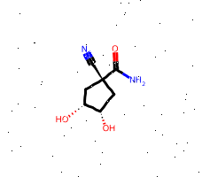 N#C[C@]1(C(N)=O)C[C@@H](O)[C@@H](O)C1